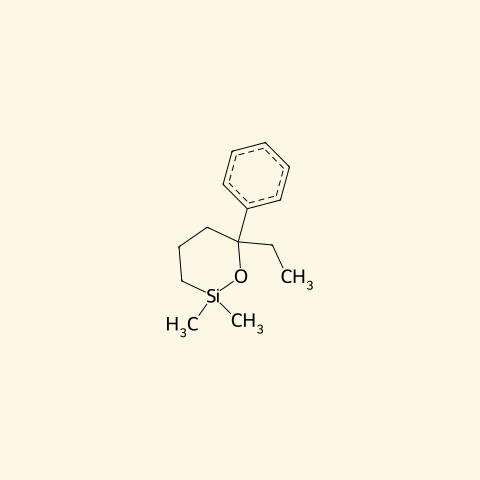 CCC1(c2ccccc2)CCC[Si](C)(C)O1